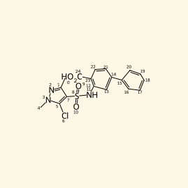 Cc1nn(C)c(Cl)c1S(=O)(=O)Nc1cc(-c2ccccc2)ccc1C(=O)O